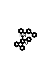 c1ccc(-c2cccc(-c3nc(-c4cc5c6ccccc6c6ccccc6c5c5oc6ccccc6c45)nc4ccccc34)c2)cc1